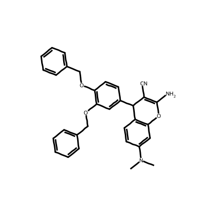 CN(C)c1ccc2c(c1)OC(N)=C(C#N)C2c1ccc(OCc2ccccc2)c(OCc2ccccc2)c1